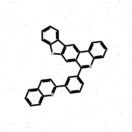 c1cc(-c2ccc3ccccc3n2)cc(-c2nc3ccccc3c3cc4c(cc23)oc2ccccc24)c1